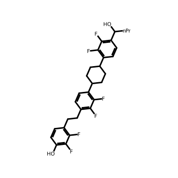 CCCC(O)c1ccc(C2CCC(c3ccc(CCc4ccc(O)c(F)c4F)c(F)c3F)CC2)c(F)c1F